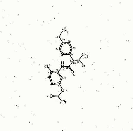 CC(C)C(=O)Oc1ccc(Cl)c(NC(=O)[C@H](c2ccc(CC(F)(F)F)cc2)C(C)C(F)(F)F)c1